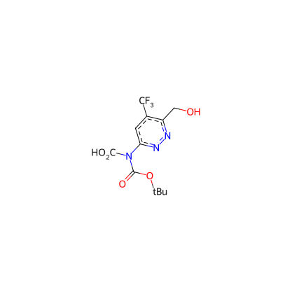 CC(C)(C)OC(=O)N(C(=O)O)c1cc(C(F)(F)F)c(CO)nn1